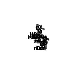 C/C=C(/C)C(=O)OCC1=CC2C(=O)C3(C=C(C)C(O)C3(O)C1O)[C@H](C)C[C@]1(OC(=O)CCCCCCCCCCC)[C@H]2C1(C)C